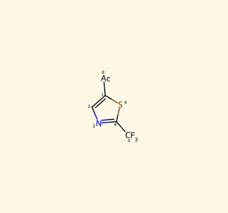 CC(=O)c1cnc(C(F)(F)F)s1